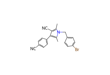 Cc1c(C#N)c(-c2ccc(C#N)cc2)c(C)n1Cc1ccc(Br)cc1